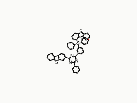 c1ccc(-c2nc(-c3cccc([Si](c4ccccc4)(c4ccccc4)c4cccc5sc6ccccc6c45)c3)nc(-c3ccc4c(c3)sc3ccccc34)n2)cc1